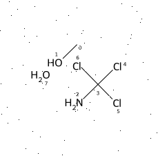 CO.NC(Cl)(Cl)Cl.O